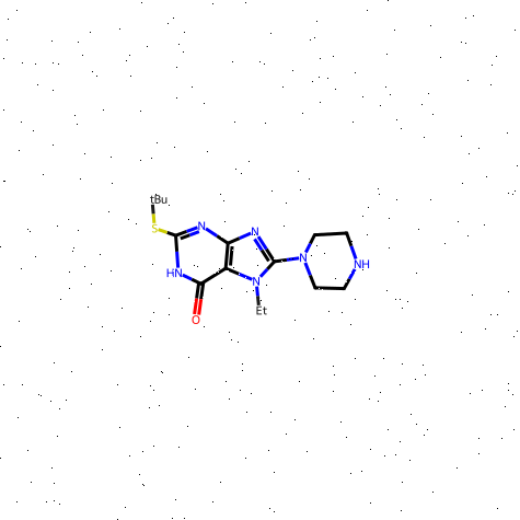 CCn1c(N2CCNCC2)nc2nc(SC(C)(C)C)[nH]c(=O)c21